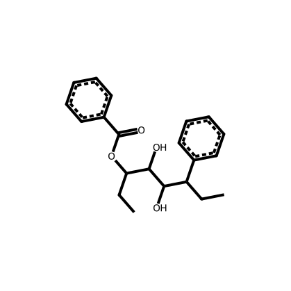 CCC(OC(=O)c1ccccc1)C(O)C(O)C(CC)c1ccccc1